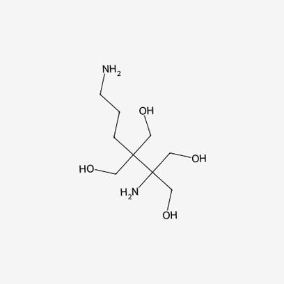 NCCCC(CO)(CO)C(N)(CO)CO